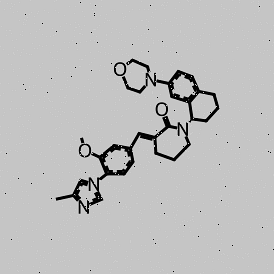 COc1cc(/C=C2\CCCN([C@H]3CCCc4ccc(N5CCOCC5)cc43)C2=O)ccc1-n1cnc(C)c1